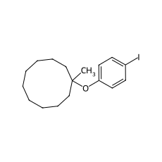 CC1(Oc2ccc(I)cc2)CCCCCCCCC1